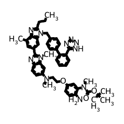 CCCc1nc2c(C)cc(-c3nc4ccc(N(C)CCOc5ccc(N)c(N(C)C(=O)OC(C)(C)C)c5)cc4n3C)cc2n1Cc1ccc(-c2ccccc2-c2nnn[nH]2)cc1